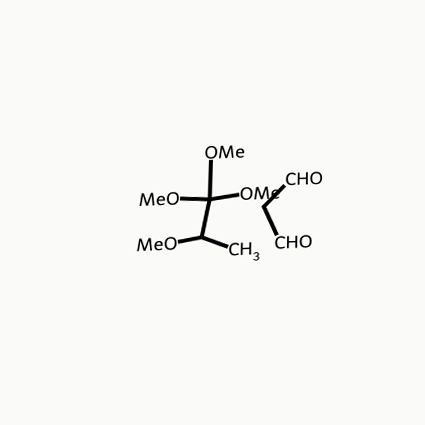 COC(C)C(OC)(OC)OC.O=CCC=O